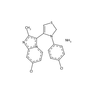 Cc1nc2cc(Cl)ccn2c1C1=CSCN1c1ccc(Cl)cc1.N